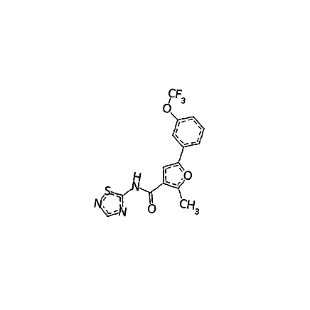 Cc1oc(-c2cccc(OC(F)(F)F)c2)cc1C(=O)Nc1ncns1